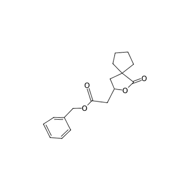 O=C(CC1CC2(CCCC2)C(=O)O1)OCc1ccccc1